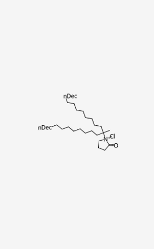 CCCCCCCCCCCCCCCCCCC(C)(CCCCCCCCCCCCCCCCCC)[N+]1(Cl)CCCC1=O